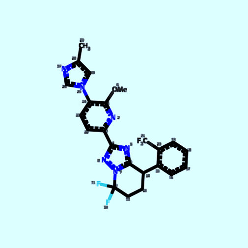 COc1nc(-c2nc3n(n2)C(F)(F)CCC3c2ccccc2C(F)(F)F)ccc1-n1cnc(C)c1